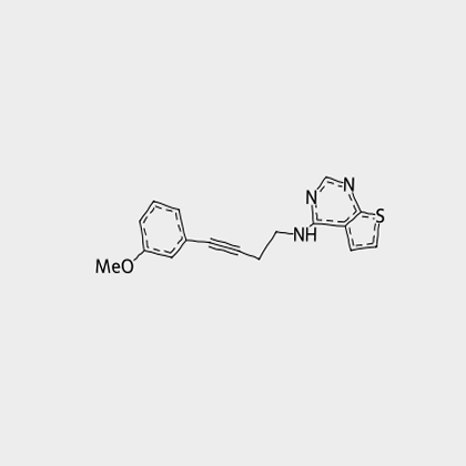 COc1cccc(C#CCCNc2ncnc3sccc23)c1